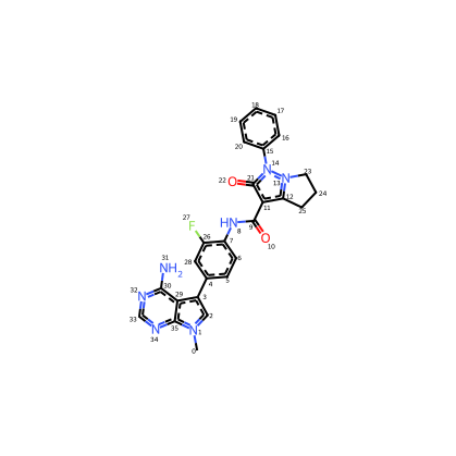 Cn1cc(-c2ccc(NC(=O)c3c4n(n(-c5ccccc5)c3=O)CCC4)c(F)c2)c2c(N)ncnc21